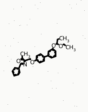 CCOC(CC)Oc1cccc(-c2ccc(OCc3nc(-c4ccccc4)oc3C)cc2)c1